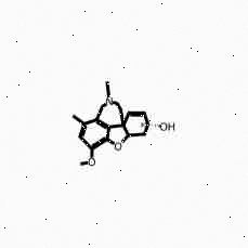 COc1cc(C)c2c3c1OC1C[C@@H](O)C=CC31CCN(C)C2